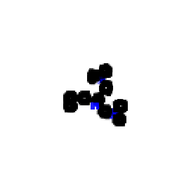 c1cc(-c2cc(-c3ccc(-c4cccc5ccccc45)cc3)nc(-c3cccc(-n4c5ccccc5c5ccccc54)c3)c2)cc(-n2c3ccccc3c3ccccc32)c1